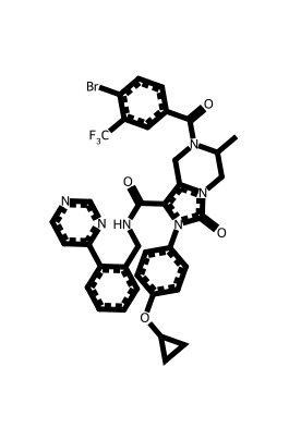 CC1Cn2c(c(C(=O)NCc3ccccc3-c3ccncn3)n(-c3ccc(OC4CC4)cc3)c2=O)CN1C(=O)c1ccc(Br)c(C(F)(F)F)c1